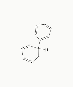 [Li][C]1(c2ccccc2)C=CC=CC1